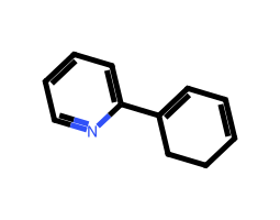 C1=CCCC(c2ccccn2)=C1